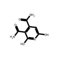 NC(=O)c1cc(O)nc(O)c1C(N)=O